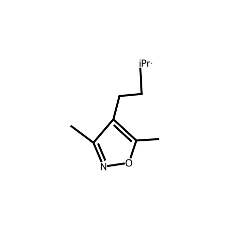 C[C](C)CCc1c(C)noc1C